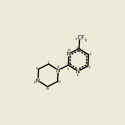 FC(F)(F)c1ccnc(N2CC[N]CC2)n1